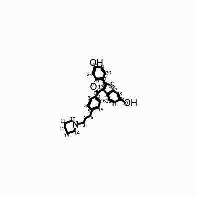 O=C(c1ccc(CCCN2CCCCC2)cc1)c1c(-c2ccc(O)cc2)sc2cc(O)ccc12